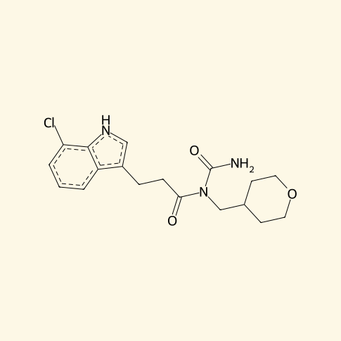 NC(=O)N(CC1CCOCC1)C(=O)CCc1c[nH]c2c(Cl)cccc12